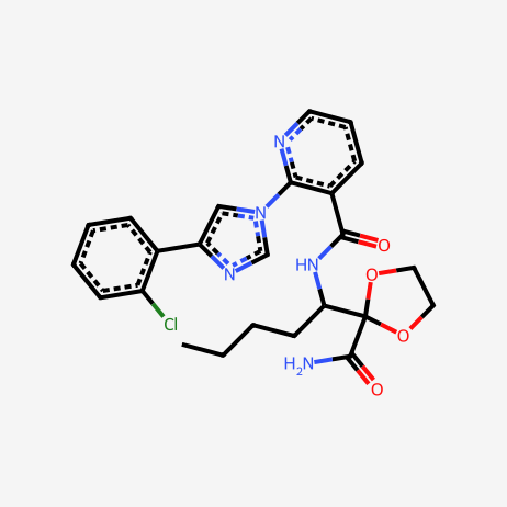 CCCCC(NC(=O)c1cccnc1-n1cnc(-c2ccccc2Cl)c1)C1(C(N)=O)OCCO1